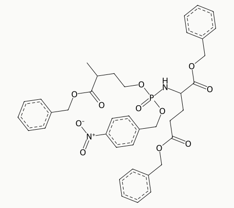 CC(CCOP(=O)(NC(CCC(=O)OCc1ccccc1)C(=O)OCc1ccccc1)OCc1ccc([N+](=O)[O-])cc1)C(=O)OCc1ccccc1